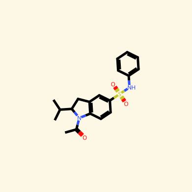 CC(=O)N1c2ccc(S(=O)(=O)Nc3ccccc3)cc2CC1C(C)C